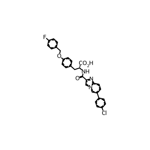 O=C(N[C@@H](Cc1ccc(OCc2ccc(F)cc2)cc1)C(=O)O)c1cn2cc(-c3ccc(Cl)cc3)ccc2n1